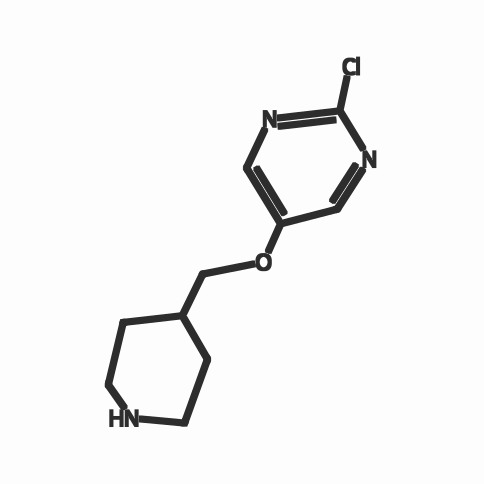 Clc1ncc(OCC2CCNCC2)cn1